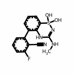 CNC1=NS(O)(O)c2cccc(-c3cccc(F)c3C#N)c2N1